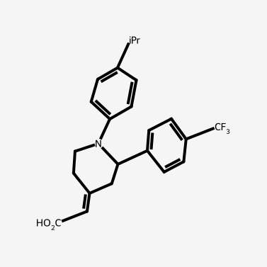 CC(C)c1ccc(N2CCC(=CC(=O)O)CC2c2ccc(C(F)(F)F)cc2)cc1